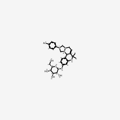 CC(=O)c1ccc(N2CN3CC=C4C(c5ccc(O[C@@H]6O[C@H](CO)[C@H](O)[C@H](O)[C@H]6O)cc5OC4(C)C)N3C2)cc1